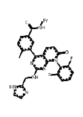 Cc1ccc(C(=O)NC(C)C)cc1-c1nc(NCc2ncc[nH]2)nc2c1ccc(=O)n2-c1c(F)cccc1F